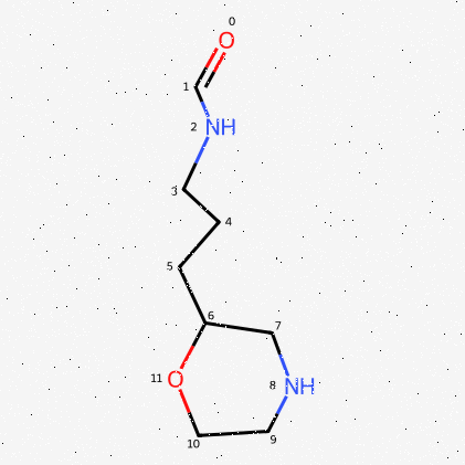 O=CNCCCC1CNCCO1